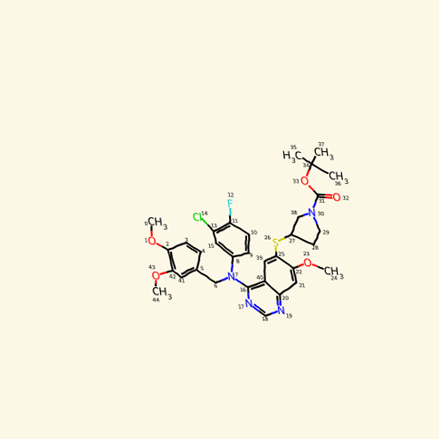 COc1ccc(CN(c2ccc(F)c(Cl)c2)c2ncnc3cc(OC)c(SC4CCN(C(=O)OC(C)(C)C)C4)cc23)cc1OC